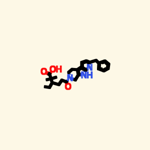 CCC(CCC(=O)N1CCc2c([nH]c3nc(Cc4ccccc4)ccc23)C1)C(C)(C)C(=O)O